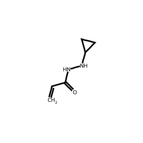 C=CC(=O)NNC1CC1